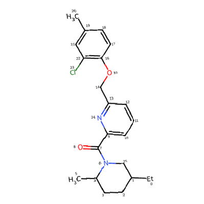 CCC1CCC(C)N(C(=O)c2cccc(COc3ccc(C)cc3Cl)n2)C1